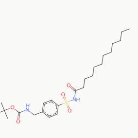 CCCCCCCCCCCC(=O)NS(=O)(=O)c1ccc(CNC(=O)OC(C)(C)C)cc1